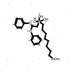 CCCCCCCCCCCCCCCCCCP(O)(O)(O)CC(Oc1ccccc1)Oc1ccccc1